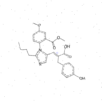 CCCCc1ncc(/C=C(\Cc2ccc(O)cc2)C(=O)O)n1-c1ccc(OC)cc1C(=O)OC